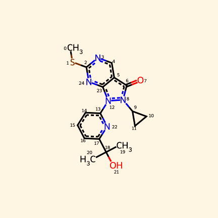 CSc1ncc2c(=O)n(C3CC3)n(-c3cccc(C(C)(C)O)n3)c2n1